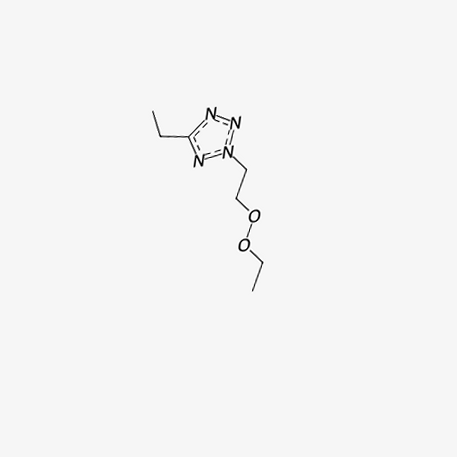 CCOOCCn1nnc(CC)n1